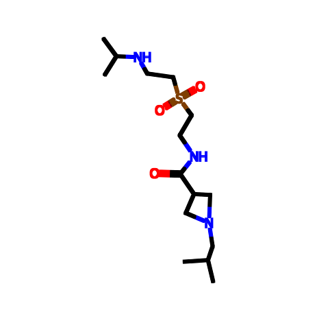 CC(C)CN1CC(C(=O)NCCS(=O)(=O)CCNC(C)C)C1